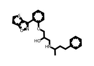 CC(CCc1ccccc1)NCC(O)COc1ccccc1-c1noc2ccsc12